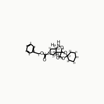 O=C(OCc1ccccc1)N1C[C@H]2NOC3(OC4(CCCCC4)OC3=O)[C@H]2C1